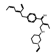 C=C/C(=C\C=C/C)Cc1ccc(C(=N)/C(=C/C)CNC2CCCN(C=C)C2)cc1